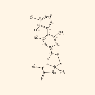 CC1(NC(=O)OC(C)(C)C)CCN(c2nc(N)c(-c3cccc(Cl)c3Cl)c(C#N)n2)CC1